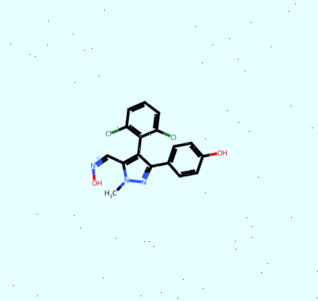 Cn1nc(-c2ccc(O)cc2)c(-c2c(Cl)cccc2Cl)c1/C=N\O